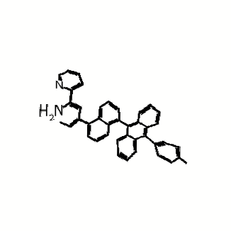 C/C=C(\C=C(/N)c1ccccn1)c1cccc2c(-c3c4ccccc4c(-c4ccc(C)cc4)c4ccccc34)cccc12